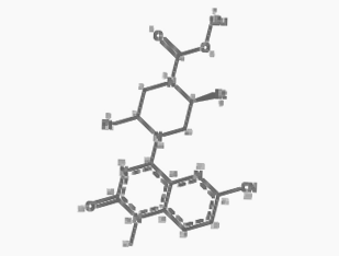 CCC1CN(C(=O)OC(C)(C)C)[C@@H](CC)CN1c1nc(=O)n(C)c2ccc(C#N)nc12